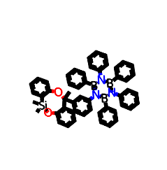 CC1(c2cccc(N3B(c4ccccc4)N(c4ccccc4)B(c4ccccc4)N(c4ccccc4)B3c3ccccc3)c2)Oc2ccccc2[Si](C)(C)Oc2ccccc21